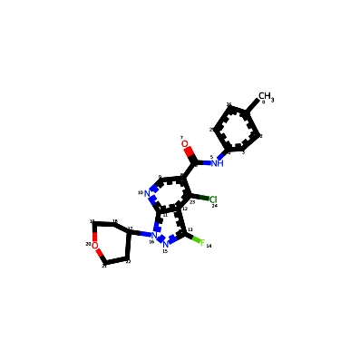 Cc1ccc(NC(=O)c2cnc3c(c(F)nn3C3CCOCC3)c2Cl)cc1